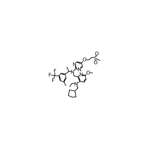 CCN(CC1CCCC1)c1ccc(OC)nc1CN(c1ncc(OCCS(C)(=O)=O)cn1)C(C)c1cc(C)cc(C(F)(F)F)c1